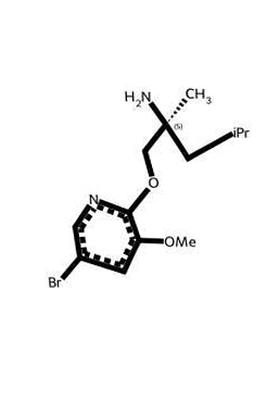 COc1cc(Br)cnc1OC[C@@](C)(N)CC(C)C